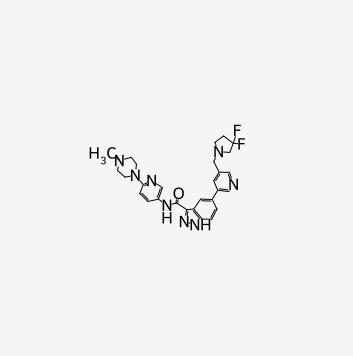 CN1CCN(c2ccc(NC(=O)c3n[nH]c4ccc(-c5cncc(CN6CCC(F)(F)C6)c5)cc34)cn2)CC1